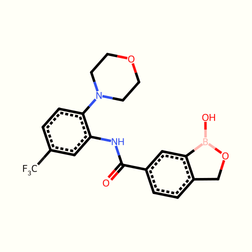 O=C(Nc1cc(C(F)(F)F)ccc1N1CCOCC1)c1ccc2c(c1)B(O)OC2